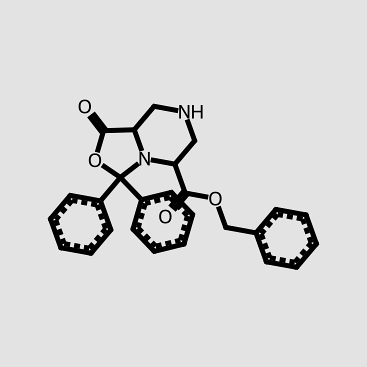 O=C(OCc1ccccc1)C1CNCC2C(=O)OC(c3ccccc3)(c3ccccc3)N12